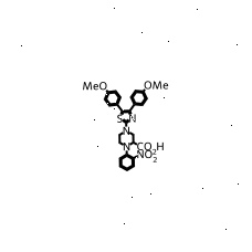 COc1ccc(-c2nc(N3CCN(c4ccccc4[N+](=O)[O-])C(C(=O)O)C3)sc2-c2ccc(OC)cc2)cc1